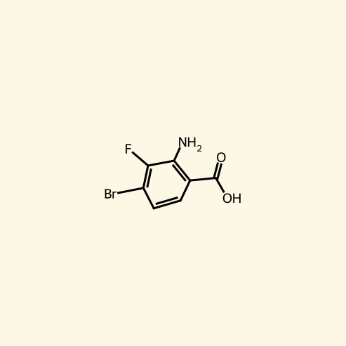 Nc1c(C(=O)O)ccc(Br)c1F